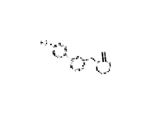 FC(F)(F)c1ccc(-c2cccc(C[C@@H]3CCCCN3)c2)cc1